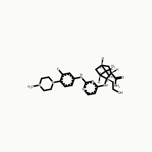 CN1CCN(c2ccc(Nc3nccc(N[C@@]4(CCO)[C@@H](C(N)=O)C[C@H]5C[C@@H]4C5(C)C)n3)cc2F)CC1